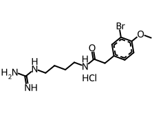 COc1ccc(CC(=O)NCCCCNC(=N)N)cc1Br.Cl